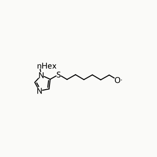 CCCCCCn1cncc1SCCCCCC[O]